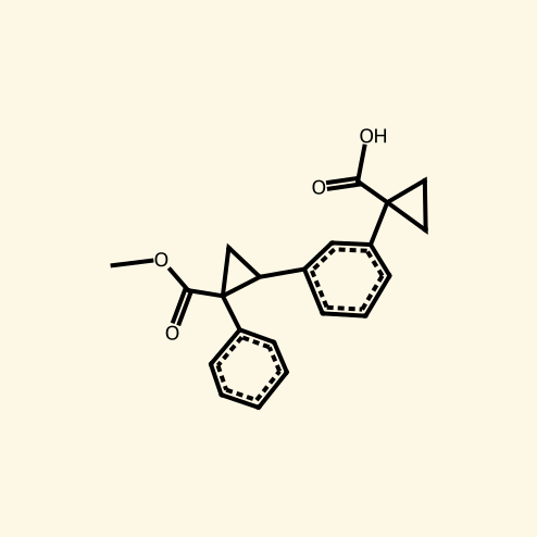 COC(=O)C1(c2ccccc2)CC1c1cccc(C2(C(=O)O)CC2)c1